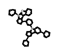 c1ccc(-c2ccc3c(c2)c2cc(-c4ccccc4)ccc2n3-c2cccc(-c3cccc4c3c3c5ccccc5oc3n4-c3ccccc3)c2)cc1